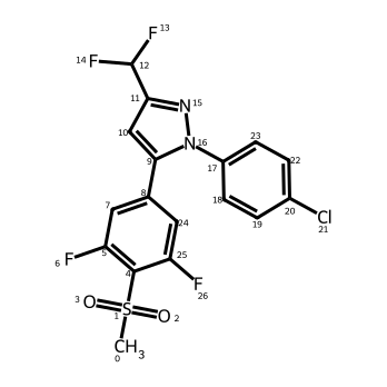 CS(=O)(=O)c1c(F)cc(-c2cc(C(F)F)nn2-c2ccc(Cl)cc2)cc1F